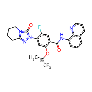 C[C@H](Oc1cc(-n2nc3n(c2=O)CCCC3)c(F)cc1C(=O)Nc1cccc2cccnc12)C(F)(F)F